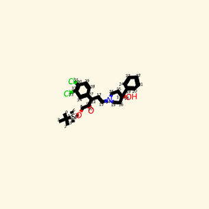 CC(C)(C)[Si](C)(C)OCC(=O)C(CCN1CCC(O)(c2ccccc2)CC1)c1ccc(Cl)c(Cl)c1